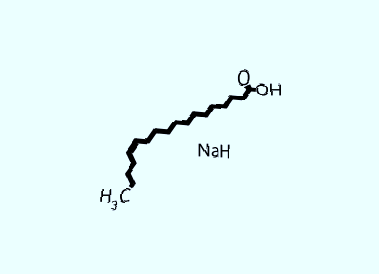 CCCC/C=C\CCCCCCCCCCCC(=O)O.[NaH]